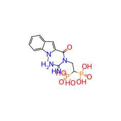 Cn1c(C(=O)N(CC(P(=O)(O)O)P(=O)(O)O)C(=N)N)cc2ccccc21